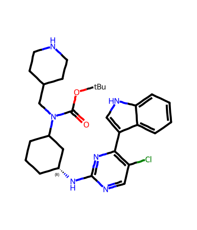 CC(C)(C)OC(=O)N(CC1CCNCC1)C1CCC[C@@H](Nc2ncc(Cl)c(-c3c[nH]c4ccccc34)n2)C1